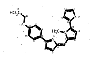 Cn1c(/C=C2/C=CC(c3ccc(OCC(=O)O)cc3)=N2)ccc1-c1cccs1